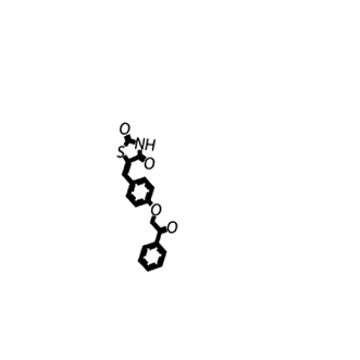 O=C1NC(=O)/C(=C\c2ccc(OCC(=O)c3ccccc3)cc2)S1